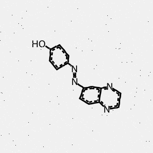 Oc1ccc(N=Nc2ccc3nccnc3c2)cc1